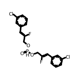 O=[PH](OC/C(F)=C/c1cccc(Cl)c1)OC/C(F)=C/c1cccc(Cl)c1